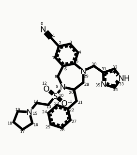 N#Cc1ccc2c(c1)CN(S(=O)(=O)CCN1CCCC1)C(Cc1ccccc1)CN2Cc1c[nH]cn1